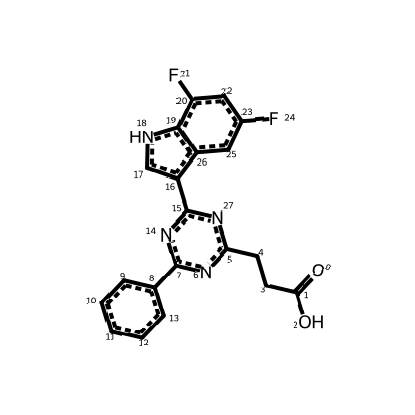 O=C(O)CCc1nc(-c2ccccc2)nc(-c2c[nH]c3c(F)cc(F)cc23)n1